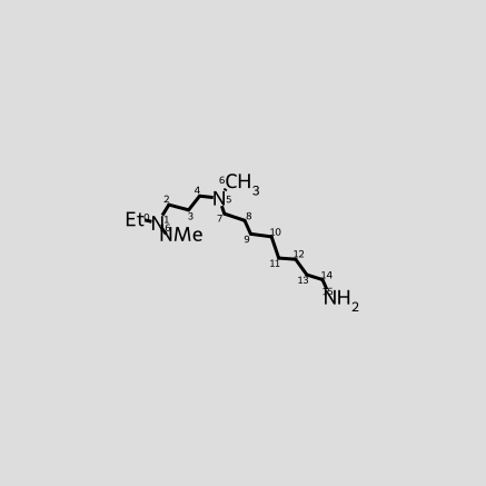 CCN(CCCN(C)CCCCCCCCN)NC